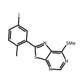 CSc1ncnc2sc(-c3cc(I)ccc3C)nc12